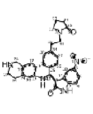 O=C1Nc2ccc([N+](=O)[O-])cc2C1=C(Nc1ccc2c(c1)CCNC2)c1ccc(CCN2CCCC2=O)cc1